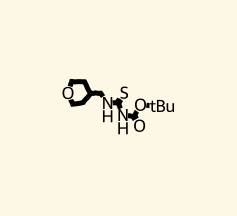 CC(C)(C)OC(=O)NC(=S)NCC1CCOCC1